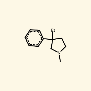 CCC1(c2ccccc2)CCN(C)C1